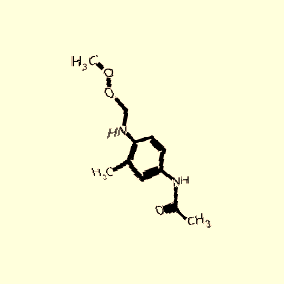 COOCNc1ccc(NC(C)=O)cc1C